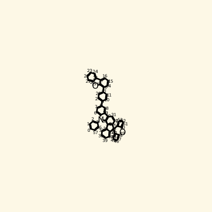 c1ccc(-n2c3ccc(-c4ccc(-c5cccc6c5oc5ccccc56)cc4)cc3c3ccc4c(c32)-c2ccccc2C42c3ccccc3Oc3ccccc32)cc1